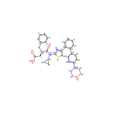 O=C(O)C[C@@H](Cc1ccccc1)C(=O)N(c1nc(-c2ccccc2-c2ccc(N3CCOCC3)nc2)cs1)C1CC1